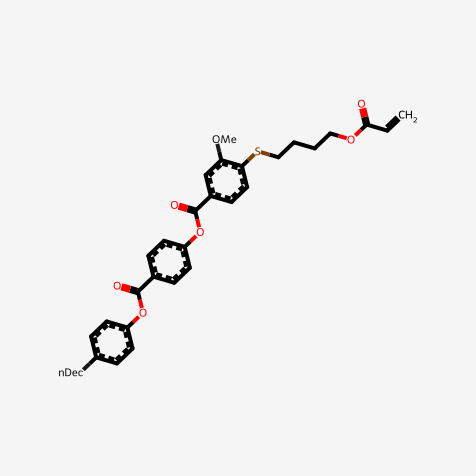 C=CC(=O)OCCCCSc1ccc(C(=O)Oc2ccc(C(=O)Oc3ccc(CCCCCCCCCC)cc3)cc2)cc1OC